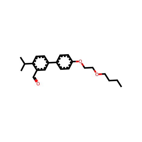 CCCCOCCOc1ccc(-c2ccc(C(C)C)c(C=O)c2)cc1